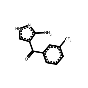 Nc1n[nH]cc1C(=O)c1cccc(C(F)(F)F)c1